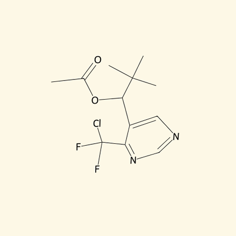 CC(=O)OC(c1cncnc1C(F)(F)Cl)C(C)(C)C